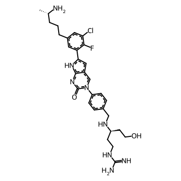 C[C@H](N)CCCc1cc(Cl)c(F)c(-c2cc3cn(-c4ccc(CN[C@@H](CCO)CCNC(=N)N)cc4)c(=O)nc3[nH]2)c1